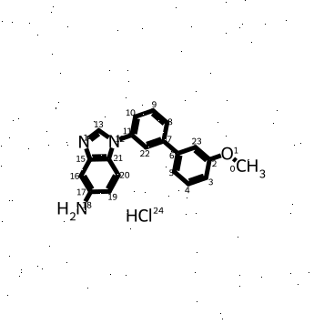 COc1cccc(-c2cccc(-n3cnc4cc(N)ccc43)c2)c1.Cl